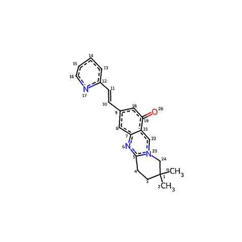 CC1(C)CCc2nc3cc(C=Cc4ccccn4)cc(=O)c-3cn2C1